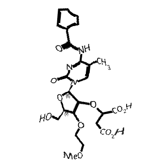 COCCOC1C(OC(CC(=O)O)C(=O)O)[C@H](n2cc(C)c(NC(=O)c3ccccc3)nc2=O)O[C@@H]1CO